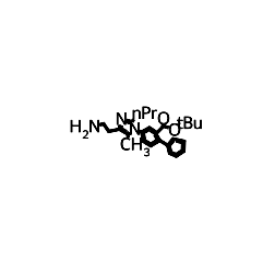 CCCc1nc(CCN)c(C)n1-c1ccc(-c2ccccc2)c(C(=O)OC(C)(C)C)c1